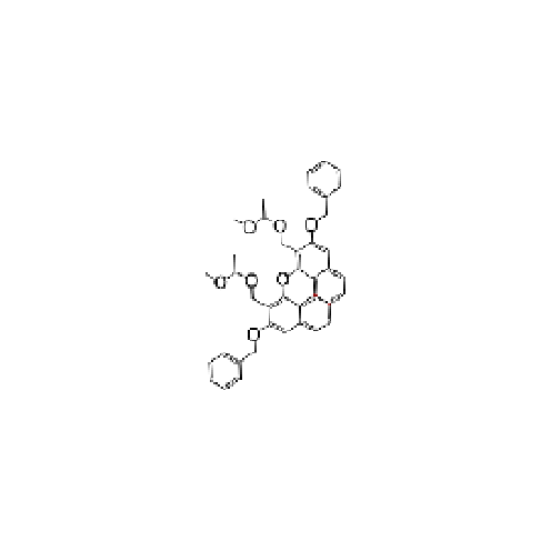 COC(C)OCc1c(OCc2ccccc2)cc2ccccc2c1Oc1c(COC(C)OC)c(OCc2ccccc2)cc2ccccc12